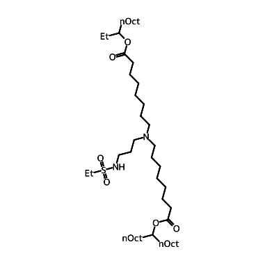 CCCCCCCCC(CC)OC(=O)CCCCCCCN(CCCCCCCC(=O)OC(CCCCCCCC)CCCCCCCC)CCCNS(=O)(=O)CC